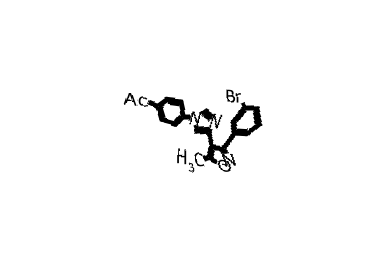 CC(=O)c1ccc(-n2cnc(-c3c(-c4cccc(Br)c4)noc3C)c2)cc1